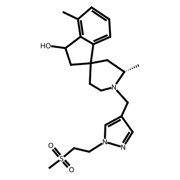 Cc1cccc2c1C(O)CC21CCN(Cc2cnn(CCS(C)(=O)=O)c2)[C@@H](C)C1